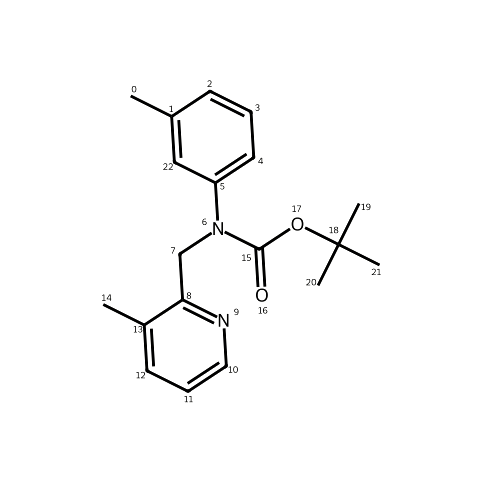 Cc1cccc(N(Cc2ncccc2C)C(=O)OC(C)(C)C)c1